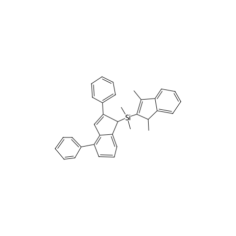 CC1=C([Si](C)(C)C2C(c3ccccc3)=Cc3c(-c4ccccc4)cccc32)C(C)c2ccccc21